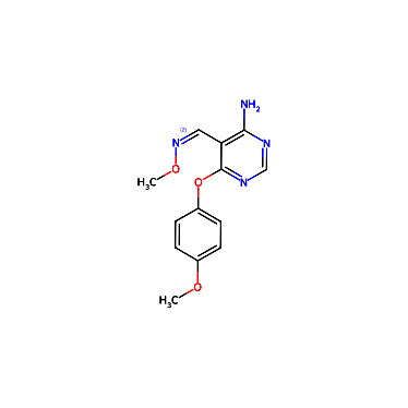 CO/N=C\c1c(N)ncnc1Oc1ccc(OC)cc1